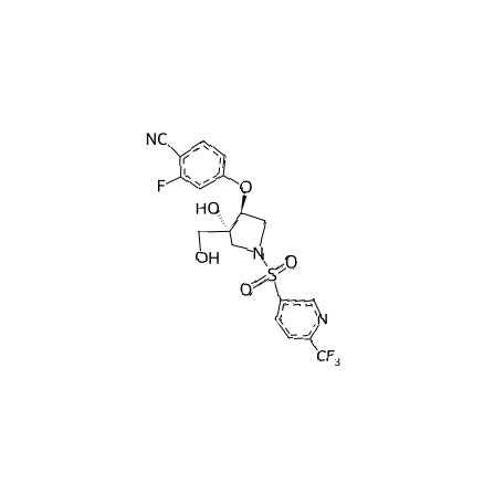 N#Cc1ccc(O[C@H]2CN(S(=O)(=O)c3ccc(C(F)(F)F)nc3)C[C@@]2(O)CO)cc1F